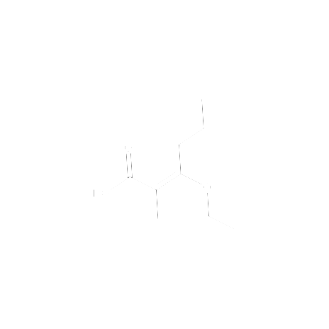 CCCC(OCC)=C(C)C(=O)O